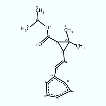 CC(C)OC(=O)C1C(C=Cc2ccccc2)C1(C)C